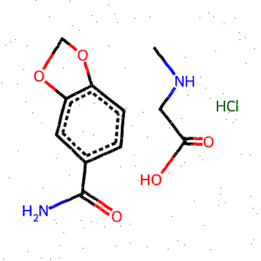 CNCC(=O)O.Cl.NC(=O)c1ccc2c(c1)OCO2